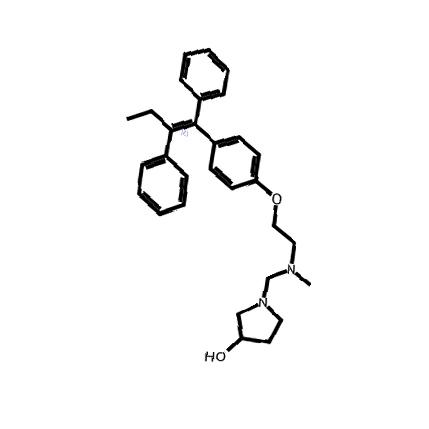 CC/C(=C(\c1ccccc1)c1ccc(OCCN(C)CN2CCC(O)C2)cc1)c1ccccc1